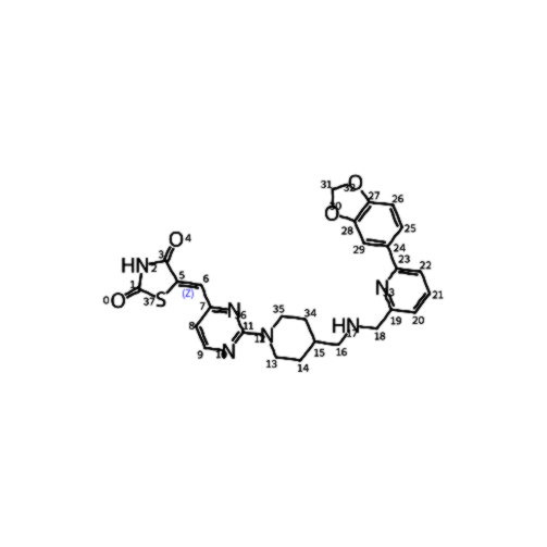 O=C1NC(=O)/C(=C/c2ccnc(N3CCC(CNCc4cccc(-c5ccc6c(c5)OCO6)n4)CC3)n2)S1